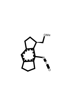 COC[C@@H]1CCc2cc3c(c(N=C=O)c21)CCC3